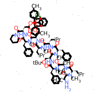 Cc1ccc(C(OC(=O)C[C@H](NC(=O)[C@H](Cc2ccccc2)N(C)C(=O)[C@@H](NC(=O)[C@H](CC(C)C)N(C)C(=O)[C@H](CC(C)C)NC(=O)[C@H](Cc2ccccc2)N(C)C(=O)[C@H](COC(C)(C)C)NC(=O)[C@H](Cc2ccccc2)N(C)C(=O)[C@H](C)N(C)C(=O)[C@H](CC(C)C)N(C)C(=O)[C@@H](C)N)[C@@H](C)OC2CCCCO2)C(=O)N2CCCCC2)(c2ccccc2)c2ccccc2Cl)cc1